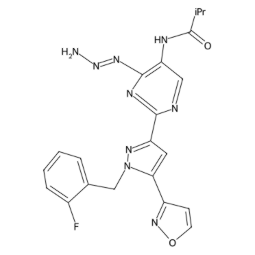 CC(C)C(=O)Nc1cnc(-c2cc(-c3ccon3)n(Cc3ccccc3F)n2)nc1N=NN